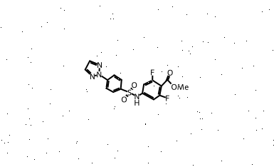 COC(=O)c1c(F)cc(NS(=O)(=O)c2ccc(-n3nccn3)cc2)cc1F